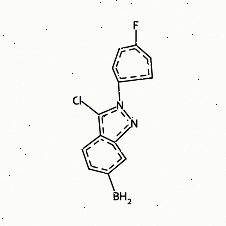 Bc1ccc2c(Cl)n(-c3ccc(F)cc3)nc2c1